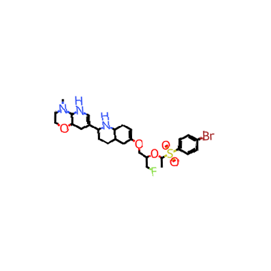 CC(OC(CF)COC1=CCC2NC(C3=CNC4C(C3)OCCN4C)CCC2C1)S(=O)(=O)c1ccc(Br)cc1